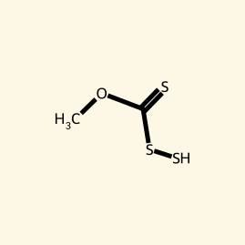 COC(=S)SS